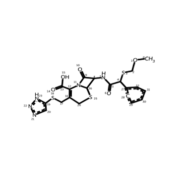 COCSC(C(=O)NC1C(=O)N2C(C(=O)O)=C(CSc3cnn[nH]3)CSC12)c1ccccc1